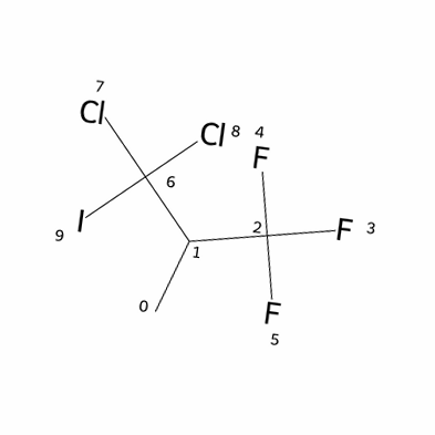 CC(C(F)(F)F)C(Cl)(Cl)I